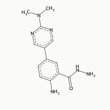 CN(C)c1ncc(-c2ccc(N)c(C(=O)NN)c2)cn1